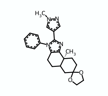 Cn1cc(-c2nc3c(n2-c2ccccc2)CCC2CC4(CC[C@]32C)OCCO4)cn1